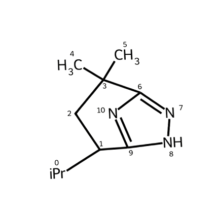 CC(C)C1CC(C)(C)c2n[nH]c1n2